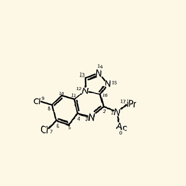 CC(=O)N(c1nc2cc(Cl)c(Cl)cc2n2cnnc12)C(C)C